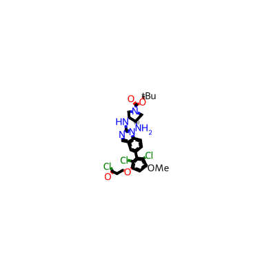 COc1cc(OCCC(=O)Cl)c(Cl)c(-c2ccc3nc(NC4CN(C(=O)OC(C)(C)C)C[C@@H]4N)ncc3c2)c1Cl